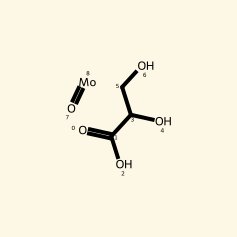 O=C(O)C(O)CO.[O]=[Mo]